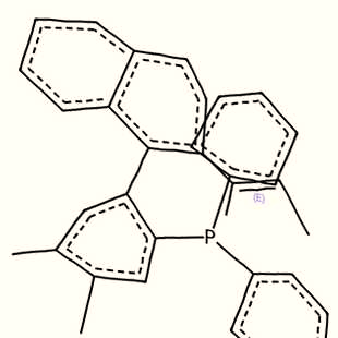 C/C=C(\C)c1ccc2ccccc2c1-c1cc(C)c(C)cc1P(c1ccccc1)c1ccccc1